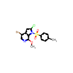 COc1ncc(Br)c2cc(Cl)n(S(=O)(=O)c3ccc(C)cc3)c12